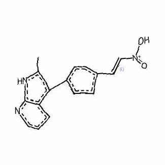 Cc1[nH]c2ncccc2c1-c1ccc(/C=C/[N+](=O)O)cc1